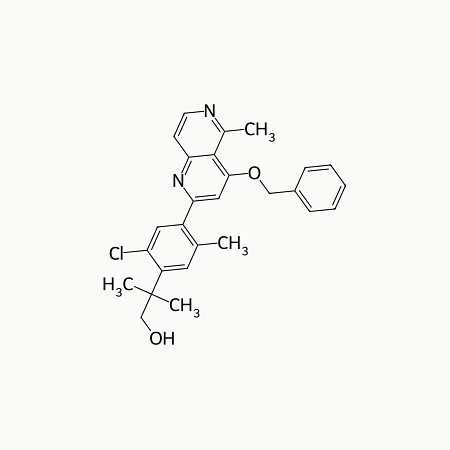 Cc1cc(C(C)(C)CO)c(Cl)cc1-c1cc(OCc2ccccc2)c2c(C)nccc2n1